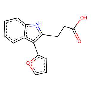 O=C(O)CCc1[nH]c2ccccc2c1-c1ccco1